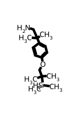 C[SiH](C)C(C)(C)COc1ccc(C(C)(C)CN)cc1